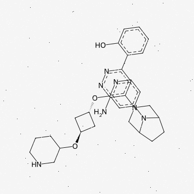 Nc1nnc(-c2ccccc2O)cc1N1CC2CCC(C1)N2c1ccnc(O[C@H]2C[C@H](OC3CCCNC3)C2)c1